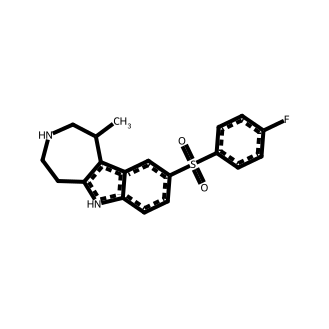 CC1CNCCc2[nH]c3ccc(S(=O)(=O)c4ccc(F)cc4)cc3c21